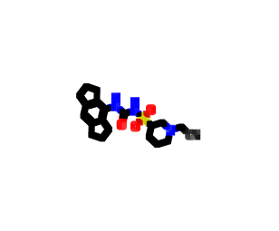 N#CCN1CCCC(S(=O)(=O)NC(=O)Nc2c3c(cc4c2CCC4)CCC3)C1